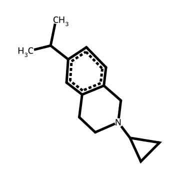 CC(C)c1ccc2c(c1)CCN(C1CC1)C2